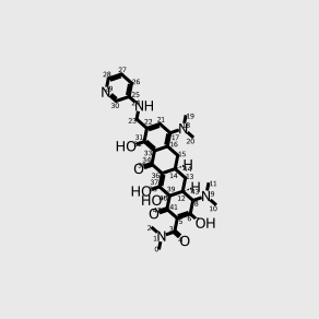 CN(C)C(=O)C1=C(O)C(N(C)C)[C@@H]2C[C@@H]3Cc4c(N(C)C)cc(CNc5cccnc5)c(O)c4C(=O)C3=C(O)[C@]2(O)C1=O